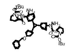 CC(C)(C)OC(=O)N1CCCC1C(=O)Nc1cc(C2C(c3ccc(OCc4ccccc4)cc3)C2c2ccc(N(N)C(=O)[C@@H]3CCCN3C(=O)OC(C)(C)C)cc2)ccc1N